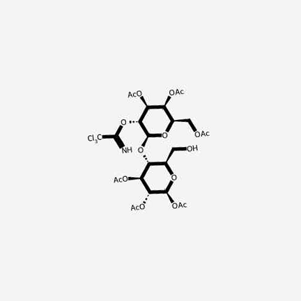 CC(=O)OC[C@H]1O[C@@H](O[C@H]2[C@H](OC(C)=O)[C@@H](OC(C)=O)[C@H](OC(C)=O)O[C@@H]2CO)[C@H](OC(=N)C(Cl)(Cl)Cl)[C@@H](OC(C)=O)[C@H]1OC(C)=O